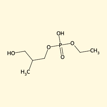 CCOP(=O)(O)OCC(C)CO